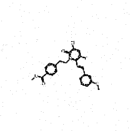 COC(=O)c1ccc(CCn2c(/C=C/c3cccc(OC)c3)c(Cl)cc(Cl)c2=O)cc1